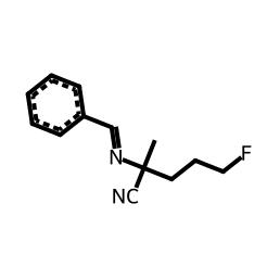 CC(C#N)(CCCF)N=Cc1ccccc1